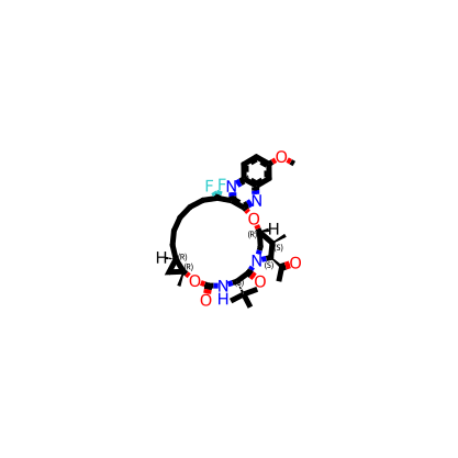 COc1ccc2nc3c(nc2c1)O[C@H]1CN(C(=O)[C@H](C(C)(C)C)NC(=O)O[C@]2(C)C[C@H]2CCCCCC3(F)F)[C@H](C(C)=O)[C@@H]1C